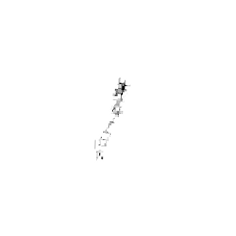 N#CC(F)=C[C@H]1CC[C@H](CCCC[C@H]2CC[C@H](c3ccc(OC(F)(F)F)cc3)CC2)CC1